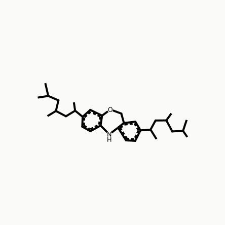 CC(C)CC(C)CC(C)c1ccc2c(c1)COc1cc(C(C)CC(C)CC(C)C)ccc1N2